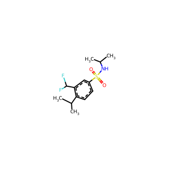 CC(C)NS(=O)(=O)c1ccc(C(C)C)c(C(F)F)c1